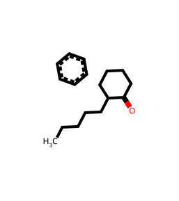 CCCCCC1CCCCC1=O.c1ccccc1